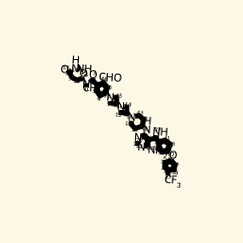 CN(C(=O)c1ccc(N2CC(N3CC(N4CCC(Nc5ncnc(N)c5C(=N)c5ccc(Oc6ccc(C(F)(F)F)cc6)cc5)CC4)C3)C2)cc1C=O)C1CCC(=O)NNO1